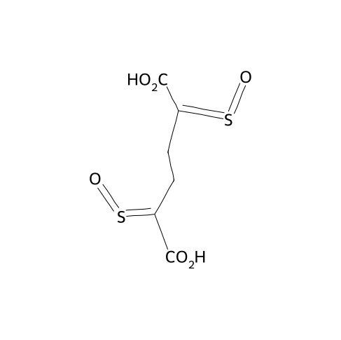 O=S=C(CCC(=S=O)C(=O)O)C(=O)O